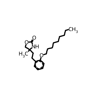 CCCCCCCCCOc1ccccc1CCC1(C)COC(=O)N1